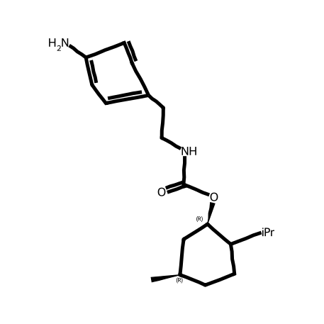 CC(C)C1CC[C@@H](C)C[C@H]1OC(=O)NCCc1ccc(N)cc1